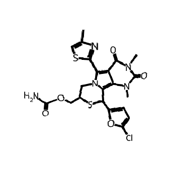 Cc1csc(-c2c3c(=O)n(C)c(=O)n(C)c3c3n2CC(COC(N)=O)SC3c2ccc(Cl)o2)n1